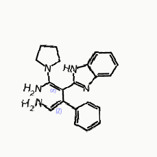 N/C=C(\C(=C(/N)N1CCCC1)c1nc2ccccc2[nH]1)c1ccccc1